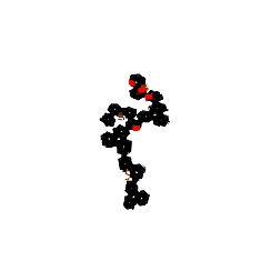 c1ccc(-c2cccc3c2sc2c(-c4cc(-c5ccc6c7ccccc7c7cc(-c8ccc9sc%10c(-c%11ccc%12c%13ccccc%13c%13ccccc%13c%12c%11)cccc%10c9c8)ccc7c6c5)ccc4-c4ccc5c6cc(-c7cccc(-c8cccc9c8sc8ccccc89)c7)ccc6c6ccccc6c5c4)cccc23)cc1